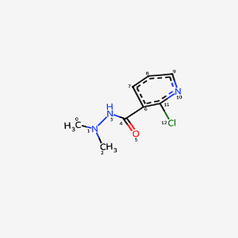 CN(C)NC(=O)c1cccnc1Cl